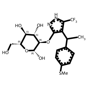 CSc1ccc(C(C)c2c(O[C@@H]3[C@@H](O)[C@H](O)[C@@H](CO)O[C@H]3O)n[nH]c2C(F)(F)F)cc1